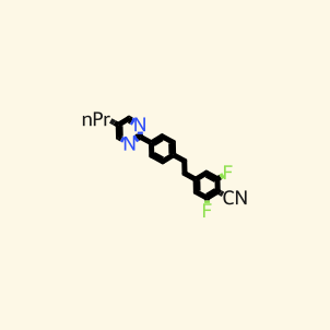 CCCc1cnc(-c2ccc(CCc3cc(F)c(C#N)c(F)c3)cc2)nc1